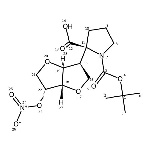 CC(C)(C)OC(=O)N1CCC[C@@]1(C(=O)O)[C@H]1CO[C@H]2[C@H]1OC[C@H]2O[N+](=O)[O-]